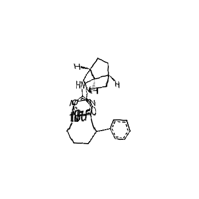 CC(C)(C)OC(=O)N1C[C@H]2CC[C@@H](C1)[C@@H]2Nc1nc2n(n1)CCCC2c1ccccc1